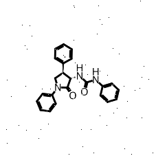 O=C(Nc1ccccc1)N[C@@H]1C(=O)N(c2ccccc2)C[C@H]1c1ccccc1